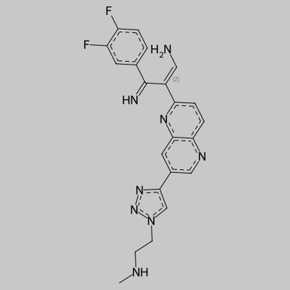 CNCCn1cc(-c2cnc3ccc(/C(=C/N)C(=N)c4ccc(F)c(F)c4)nc3c2)nn1